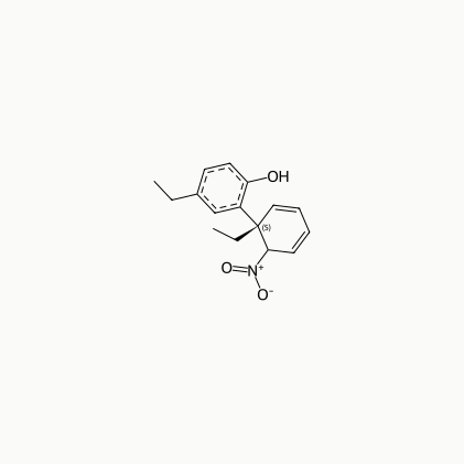 CCc1ccc(O)c([C@]2(CC)C=CC=CC2[N+](=O)[O-])c1